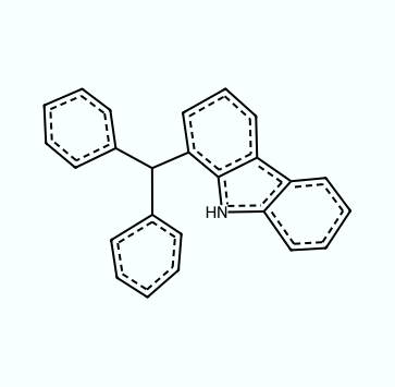 c1ccc(C(c2ccccc2)c2cccc3c2[nH]c2ccccc23)cc1